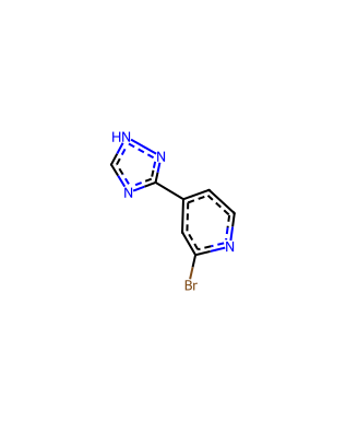 Brc1cc(-c2nc[nH]n2)ccn1